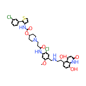 COc1cc(NC(=O)CCN2CCC(OC(=O)Nc3ccsc3-c3cccc(Cl)c3)CC2)c(Cl)cc1CNC[C@H](O)c1ccc(O)c2[nH]c(=O)ccc12